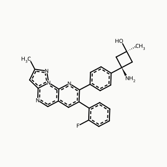 Cc1cc2ncc3cc(-c4ccccc4F)c(-c4ccc([C@]5(N)C[C@@](C)(O)C5)cc4)nc3n2n1